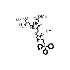 COC(=O)CNC(=O)C(CSC1CC(=O)N(CCC[P+](c2ccccc2)(c2ccccc2)c2ccccc2)C1=O)NC(=O)CCC(N)C(=O)OC.[Br-]